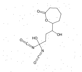 O=C=NC(O)(CCC(O)C1CCCCC(=O)O1)N=C=O